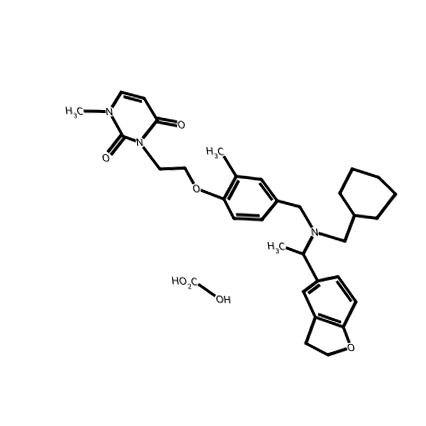 Cc1cc(CN(CC2CCCCC2)C(C)c2ccc3c(c2)CCO3)ccc1OCCn1c(=O)ccn(C)c1=O.O=C(O)O